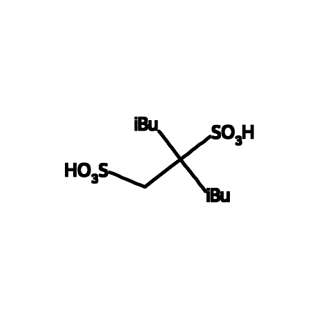 CCC(C)C(CS(=O)(=O)O)(C(C)CC)S(=O)(=O)O